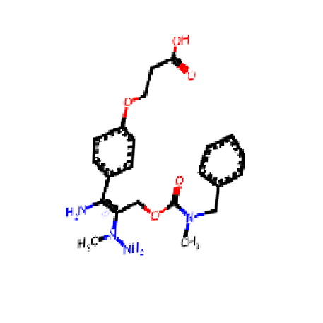 CN(Cc1ccccc1)C(=O)OC/C(=C(/N)c1ccc(OCCC(=O)O)cc1)N(C)N